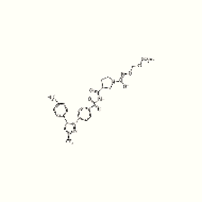 CCOC(=O)OCO/N=[N+](\[O-])N1CCC(C(=O)NS(=O)(=O)c2ccc(-n3nc(C(F)(F)F)cc3-c3ccc(C)cc3)cc2)C1